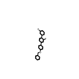 Fc1cccc(-c2ccc(-c3ccc(OCc4ccccc4)cc3)cc2F)c1